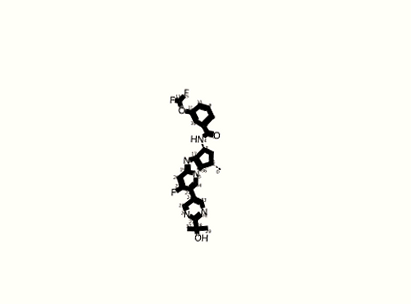 C[C@H]1C[C@@H](NC(=O)c2cccc(OC(F)F)c2)c2nc3cc(F)c(-c4cnc(C(C)(C)O)nc4)cn3c21